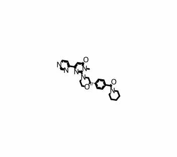 Cn1c(N2CCO[C@@H](c3ccc(C(=O)N4CCCCC4)cc3)C2)nc(-c2ccncn2)cc1=O